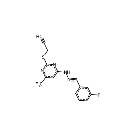 C#CCSc1nc(N/N=C/c2cccc(F)c2)cc(C(F)(F)F)n1